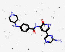 Nc1cncc(-c2c[nH]c(=O)c(NC(=O)c3ccc(NC4CCNCC4)cc3)c2)n1